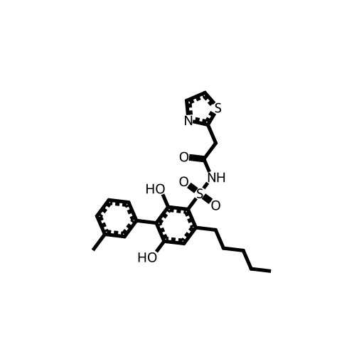 CCCCCc1cc(O)c(-c2cccc(C)c2)c(O)c1S(=O)(=O)NC(=O)Cc1nccs1